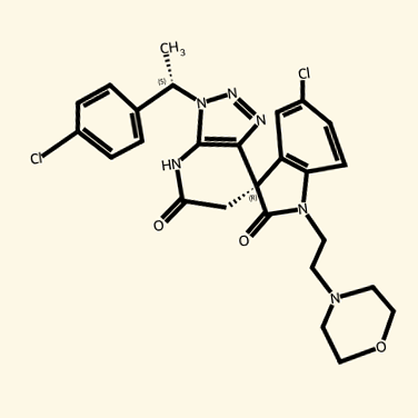 C[C@@H](c1ccc(Cl)cc1)n1nnc2c1NC(=O)C[C@]21C(=O)N(CCN2CCOCC2)c2ccc(Cl)cc21